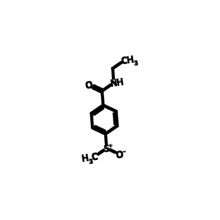 CCNC(=O)c1ccc([S+](C)[O-])cc1